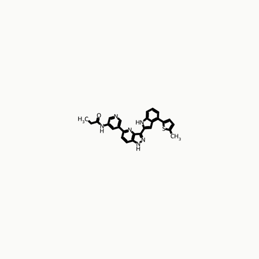 CCC(=O)Nc1cncc(-c2ccc3[nH]nc(-c4cc5c(-c6ccc(C)s6)cccc5[nH]4)c3n2)c1